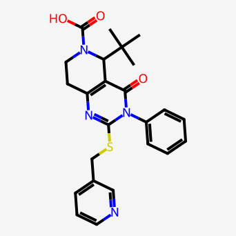 CC(C)(C)C1c2c(nc(SCc3cccnc3)n(-c3ccccc3)c2=O)CCN1C(=O)O